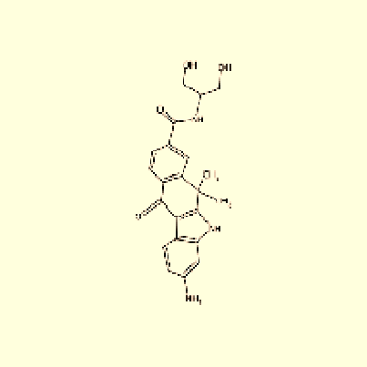 CC1(C)c2cc(C(=O)NC(CO)CO)ccc2C(=O)c2c1[nH]c1cc(N)ccc21